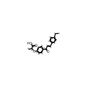 CCc1ccc(/C=C/C(=O)c2ccc(OC(C)C(=O)O)cc2)cc1